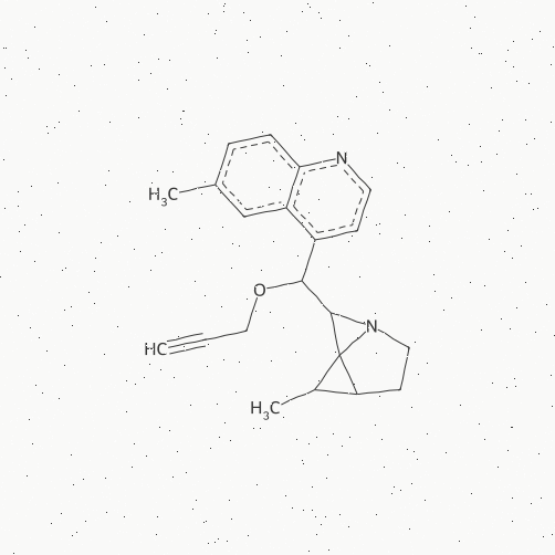 C#CCOC(c1ccnc2ccc(C)cc12)C1N2CCC3C(C)C312